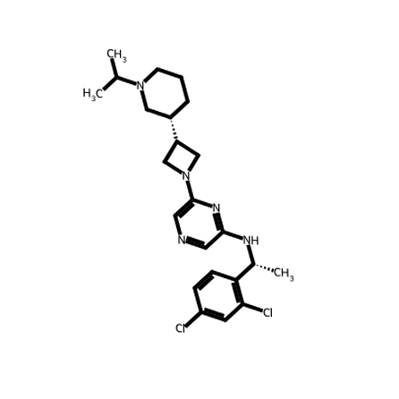 CC(C)N1CCC[C@H](C2CN(c3cncc(N[C@H](C)c4ccc(Cl)cc4Cl)n3)C2)C1